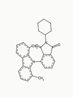 Cc1cccc2c3cccc(C)c3n(-c3cccc4c3C(=O)N(C3CCCCC3)C4=O)c12